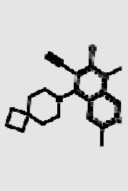 C#Cc1c(N2CCC3(CCC3)CC2)c2cc(C)ncc2n(C)c1=O